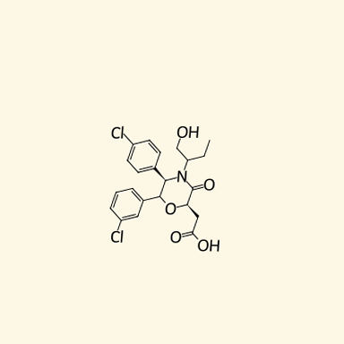 CCC(CO)N1C(=O)[C@@H](CC(=O)O)OC(c2cccc(Cl)c2)[C@H]1c1ccc(Cl)cc1